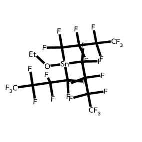 CC[O][Sn]([C](F)(F)C(F)(F)C(F)(F)C(F)(F)F)([C](F)(F)C(F)(F)C(F)(F)C(F)(F)F)[C](F)(F)C(F)(F)C(F)(F)C(F)(F)F